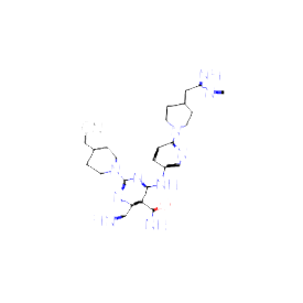 C=NC(=N)CC1CCN(c2ccc(Nc3nc(N4CCC(CC#N)CC4)nc(C=N)c3C(N)=O)cn2)CC1